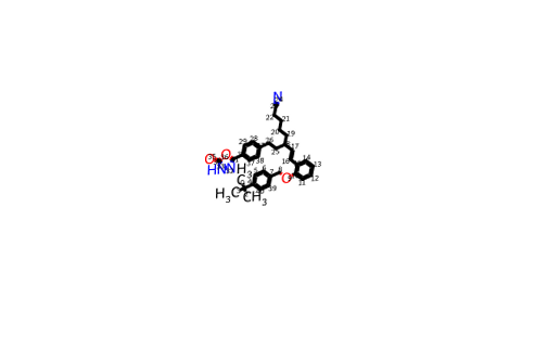 CC(C)(C)c1ccc(COc2ccccc2C=CC(CCCCC#N)CCc2ccc(-c3n[nH]c(=O)o3)cc2)cc1